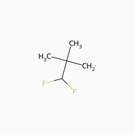 [CH2]C(C)(C)C(F)F